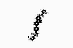 CC1(C)c2cc(NC(=O)[C@@H]3CCCN3)ccc2-c2ccc(-c3ccc(-c4cnc([C@@H]5CCCN5)[nH]4)cc3)cc21